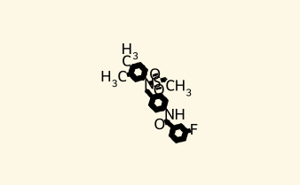 CCS(=O)(=O)N(Cc1ccc(NC(=O)c2cccc(F)c2)cc1)c1ccc(C)c(C)c1